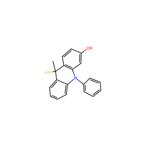 CC1(S)c2ccccc2N(c2ccccc2)c2cc(O)ccc21